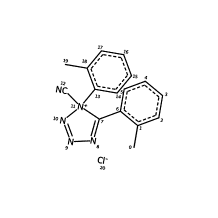 Cc1ccccc1C1=NN=N[N+]1(C#N)c1ccccc1C.[Cl-]